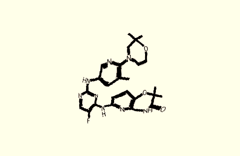 Cc1cc(Nc2ncc(F)c(Nc3ccc4c(n3)NC(=O)C(C)(C)O4)n2)cnc1N1CCOC(C)(C)C1